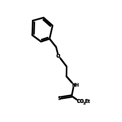 CCOC(=O)C(=S)NCCOCc1ccccc1